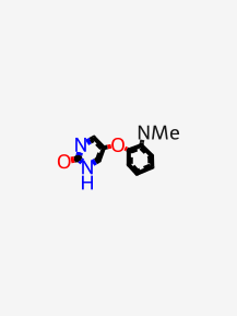 CNc1ccccc1Oc1cnc(=O)[nH]c1